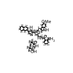 COc1ccc2[nH]c(C)c(CC(=O)N[C@@H](CCCCNC(=O)c3ccccc3N)c3ncc(-c4ccc5ccccc5c4)[nH]3)c2c1.O=C(O)C(F)(F)F.O=C(O)C(F)(F)F